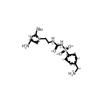 CCCCc1nc(N)cn1CCNC(=O)NS(=O)(=O)c1ccc(CN)cc1